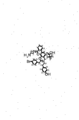 NCCNC(=O)c1ccccc1-c1ccc(CN(CCc2ccc(O)cc2)C(=O)Cc2ccc(Br)cc2)cc1.O=C(O)C(F)(F)F